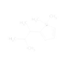 CC(C)C(C)C1=CC=C[Si]1(C)C